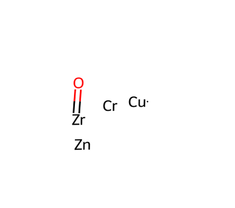 [Cr].[Cu].[O]=[Zr].[Zn]